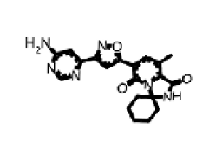 Cc1cc(-c2cc(-c3cc(N)ncn3)no2)c(=O)n2c1C(=O)NC21CCCCC1